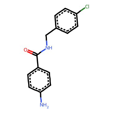 Nc1ccc(C(=O)NCc2ccc(Cl)cc2)cc1